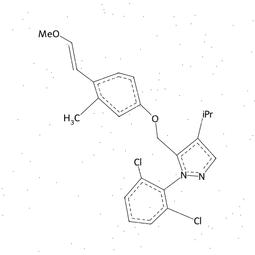 CO/C=C/c1ccc(OCc2c(C(C)C)cnn2-c2c(Cl)cccc2Cl)cc1C